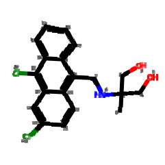 CC(CO)(CO)NCc1c2ccccc2c(Cl)c2cc(Cl)ccc12